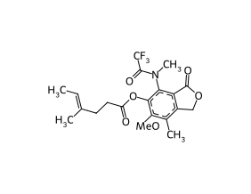 CC=C(C)CCC(=O)Oc1c(OC)c(C)c2c(c1N(C)C(=O)C(F)(F)F)C(=O)OC2